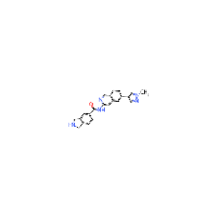 Cn1cc(-c2ccc3cnc(NC(=O)c4ccc5c(c4)CNC5)cc3c2)cn1